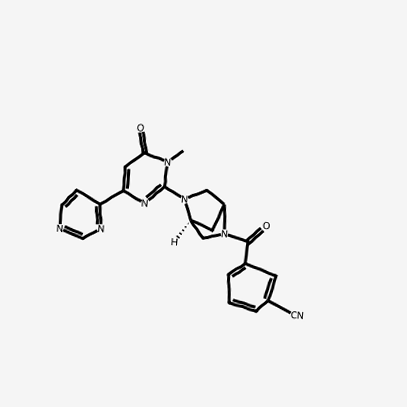 Cn1c(N2CC3C[C@H]2CN3C(=O)c2cccc(C#N)c2)nc(-c2ccncn2)cc1=O